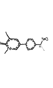 Cc1cc(-c2ccc([C@@H](C)N=O)cc2)cn(C)c1=O